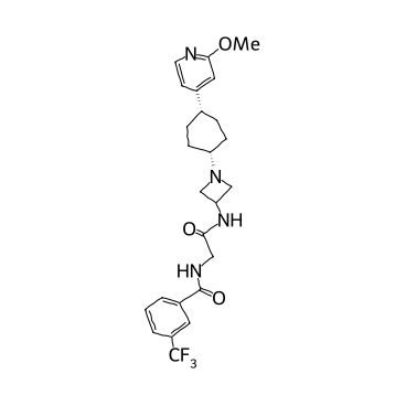 COc1cc([C@H]2CC[C@@H](N3CC(NC(=O)CNC(=O)c4cccc(C(F)(F)F)c4)C3)CC2)ccn1